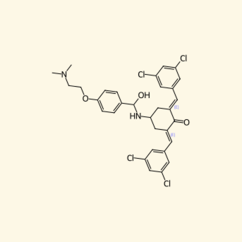 CN(C)CCOc1ccc(C(O)NC2C/C(=C\c3cc(Cl)cc(Cl)c3)C(=O)/C(=C/c3cc(Cl)cc(Cl)c3)C2)cc1